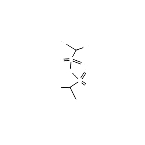 O=S(=O)(OS(=O)(=O)C(F)F)C(F)F